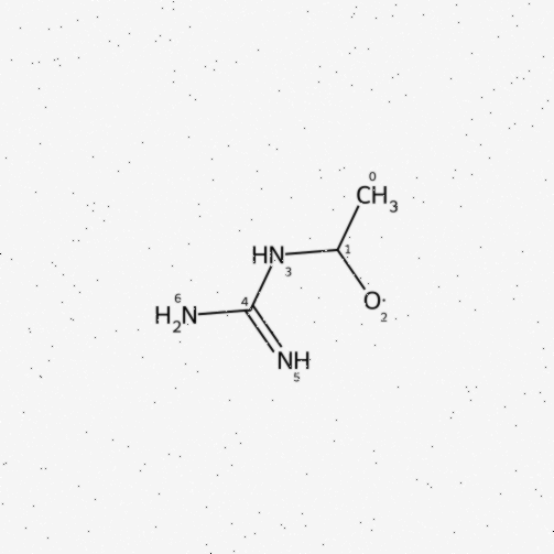 CC([O])NC(=N)N